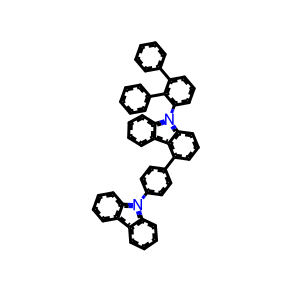 c1ccc(-c2cccc(-n3c4ccccc4c4c(-c5ccc(-n6c7ccccc7c7ccccc76)cc5)cccc43)c2-c2ccccc2)cc1